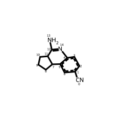 N#Cc1ccc2c(c1)C1CCCC1C(N)=N2